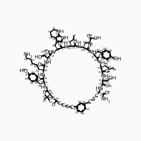 CCC[C@@H]1NC(=O)[C@H](Cc2c[nH]c3c2CCCN3)NC(=O)[C@H]([C@@H](C)O)NC(=O)[C@H](CCCCCN)NC(=O)[C@H](Cc2ccc(O)cc2)NC(=O)[C@H](C(C)(C)C)NC(=O)CCSCc2cccc(c2)CSC[C@@H](C(N)=O)NC(=O)[C@H]([C@@H](C)O)NC(=O)[C@H](CCC)NC(=O)[C@H](Cc2ccc(O)cc2)NC(=O)[C@H](CCC(=O)O)NC1=O